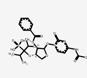 CC(=O)Nc1ccn(OC2OC[C@H](OC(C(C)C)(C(C)C)P(=O)(O)O)[C@H]2OC(=O)c2ccccc2)c(=O)n1